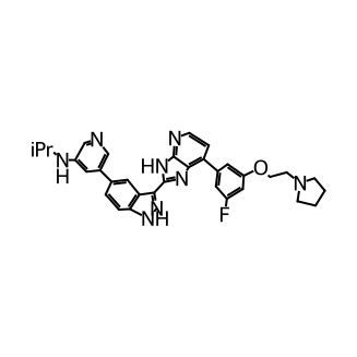 CC(C)Nc1cncc(-c2ccc3[nH]nc(-c4nc5c(-c6cc(F)cc(OCCN7CCCC7)c6)ccnc5[nH]4)c3c2)c1